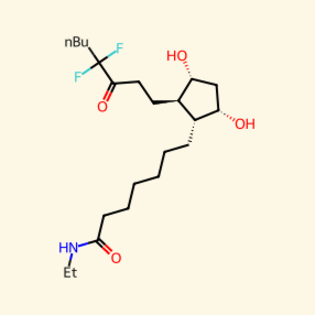 CCCCC(F)(F)C(=O)CC[C@@H]1[C@@H](CCCCCCC(=O)NCC)[C@@H](O)C[C@H]1O